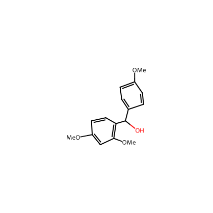 COc1ccc(C(O)c2ccc(OC)cc2OC)cc1